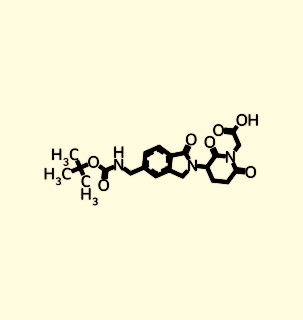 CC(C)(C)OC(=O)NCc1ccc2c(c1)CN(C1CCC(=O)N(CC(=O)O)C1=O)C2=O